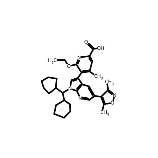 CCOc1nc(C(=O)O)cc(C)c1-c1cn(C(C2CCCCC2)C2CCCCC2)c2ncc(-c3c(C)noc3C)cc12